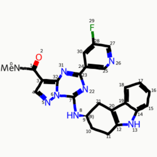 CNC(=O)c1cnn2c(N[C@@H]3CCc4[nH]c5ccccc5c4C3)nc(-c3cncc(F)c3)nc12